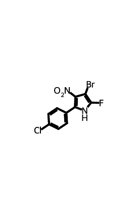 O=[N+]([O-])c1c(-c2ccc(Cl)cc2)[nH]c(F)c1Br